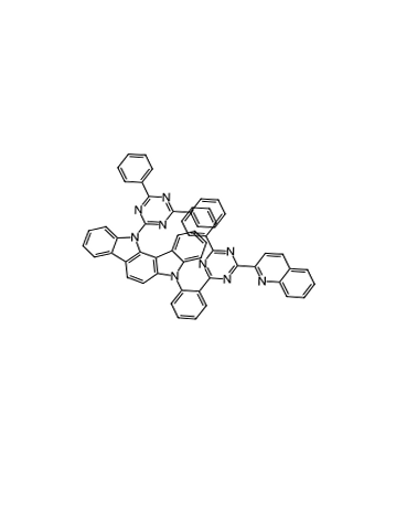 c1ccc(-c2nc(-c3ccc4ccccc4n3)nc(-c3ccccc3-n3c4ccccc4c4c3ccc3c5ccccc5n(-c5nc(-c6ccccc6)nc(-c6ccccc6)n5)c34)n2)cc1